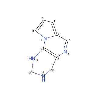 c1cc2cnc3c(n2c1)NCNC3